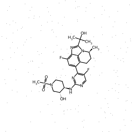 C[C@H]1CCc2c(-c3nc(N[C@@H]4CCN(S(C)(=O)=O)C[C@H]4O)ncc3F)cc(F)c3nc(C(C)(C)O)n1c23